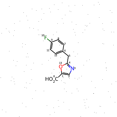 O=C(O)c1cnc(Cc2ccc(F)cc2)o1